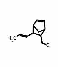 CC=CC1C2C=CC(C2)C1CCl